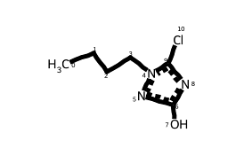 CCCCn1nc(O)nc1Cl